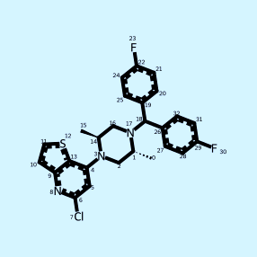 C[C@@H]1CN(c2cc(Cl)nc3ccsc23)[C@@H](C)CN1C(c1ccc(F)cc1)c1ccc(F)cc1